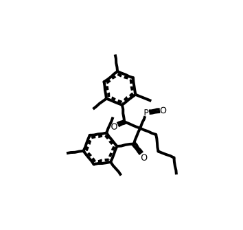 CCCCC(P=O)(C(=O)c1c(C)cc(C)cc1C)C(=O)c1c(C)cc(C)cc1C